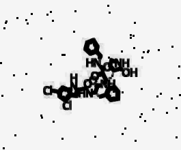 O=C(NCc1ccccc1)C(=O)[C@H](C[C@@H]1CCNC1O)NC(=O)[C@H](Cc1ccccc1)NC(=O)c1cc2c(Cl)cc(Cl)cc2[nH]1